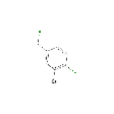 CCc1cc(CF)ccc1F